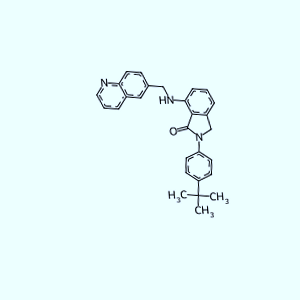 CC(C)(C)c1ccc(N2Cc3cccc(NCc4ccc5ncccc5c4)c3C2=O)cc1